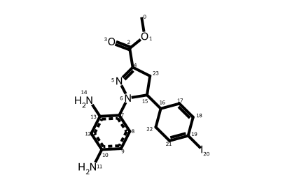 COC(=O)C1=NN(c2ccc(N)cc2N)C(C2C=CC(I)=CC2)C1